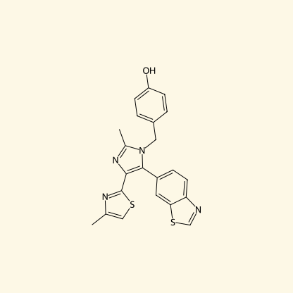 Cc1csc(-c2nc(C)n(Cc3ccc(O)cc3)c2-c2ccc3ncsc3c2)n1